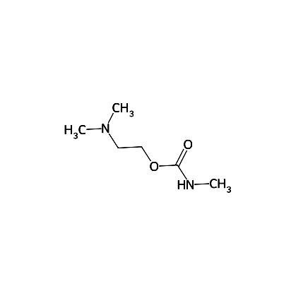 CNC(=O)OCCN(C)C